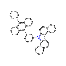 c1ccc(-c2c3ccccc3c(-c3cccc(-n4c5ccc6ccccc6c5c5ccc6ccccc6c54)c3)c3ccccc23)cc1